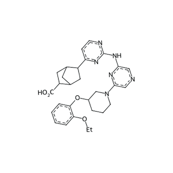 CCOc1ccccc1OC1CCCN(c2cncc(Nc3nccc(C4CC5CC4CC5C(=O)O)n3)n2)C1